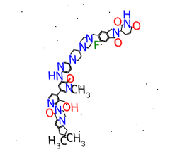 Cn1cc(-c2ccnc(N3CCn4c(cc5c4CC(C)(C)C5)C3=O)c2CO)cc(Nc2ccc(N3CCC(N4CCN(Cc5cc6c(cc5F)C(=O)N(C5CCC(=O)NC5=O)C6)CC4)CC3)cn2)c1=O